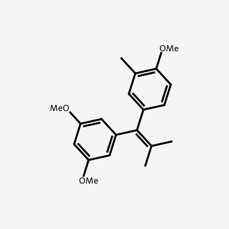 COc1cc(OC)cc(C(=C(C)C)c2ccc(OC)c(C)c2)c1